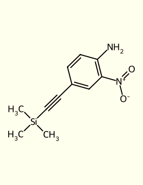 C[Si](C)(C)C#Cc1ccc(N)c([N+](=O)[O-])c1